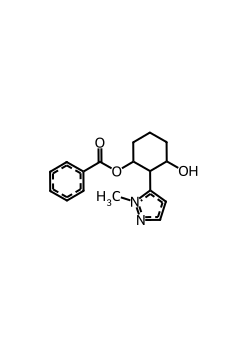 Cn1nccc1C1C(O)CCCC1OC(=O)c1ccccc1